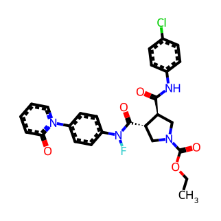 CCOC(=O)N1C[C@H](C(=O)Nc2ccc(Cl)cc2)[C@@H](C(=O)N(F)c2ccc(-n3ccccc3=O)cc2)C1